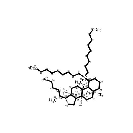 CCCCCCCCCCCCCCCCCC[N+](C)(CCCCCCCCCCCCCCCCCC)C1CCCC2CC[C@@H]3[C@H](CC[C@]4(C)[C@@H]([C@H](C)CCCC(C)C)CC[C@@H]34)[C@]21C.[Cl-]